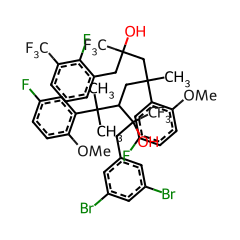 COc1ccc(F)cc1C(C)(CC(C(C)(C)c1cc(F)ccc1OC)C(O)(Cc1cc(Br)cc(Br)c1)C(F)(F)F)CC(O)(Cc1cccc(C(F)(F)F)c1F)C(F)(F)F